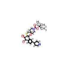 CC(C)(C)OC(=O)N1CCC2(CC1)CSC1=C(O2)c2cc(-c3ccncc3)ccc2C(=O)C1=O